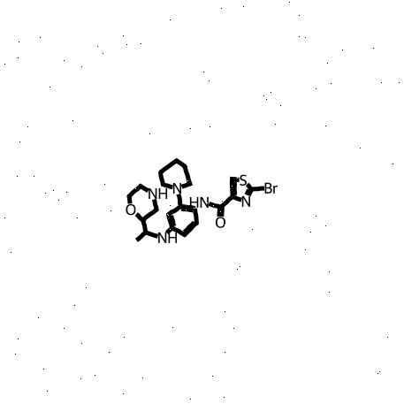 CC(Nc1ccc(NC(=O)c2csc(Br)n2)c(N2CCCCC2)c1)C1CNCCO1